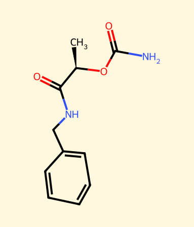 C[C@@H](OC(N)=O)C(=O)NCc1ccccc1